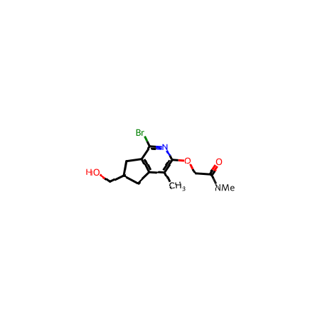 CNC(=O)COc1nc(Br)c2c(c1C)CC(CO)C2